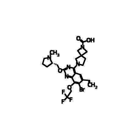 C=Cc1cc2c(N3CCC4(CN(C(=O)O)C4)C3)nc(OC[C@@H]3CCCN3C)nc2c(OCC(F)(F)F)c1Br